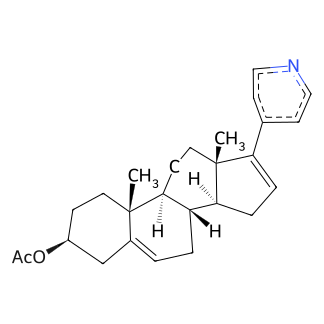 CC(=O)O[C@H]1CC[C@@]2(C)C(=CC[C@@H]3[C@@H]2CC[C@]2(C)C(c4ccncc4)=CC[C@@H]32)C1